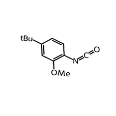 COc1cc(C(C)(C)C)ccc1N=C=O